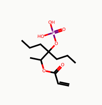 C=CC(=O)OC(C)C(CCC)(CCC)OP(=O)(O)O